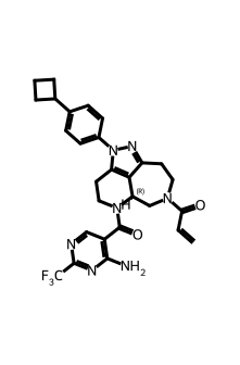 C=CC(=O)N1CCc2nn(-c3ccc(C4CCC4)cc3)c3c2[C@H](C1)N(C(=O)c1cnc(C(F)(F)F)nc1N)CC3